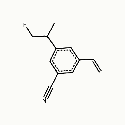 C=Cc1cc(C#N)cc([C](C)CF)c1